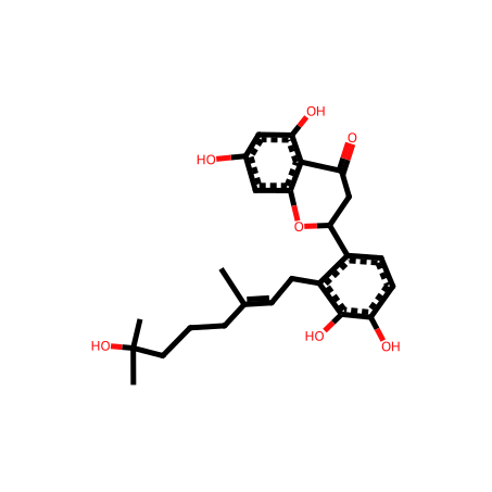 C/C(=C\Cc1c(C2CC(=O)c3c(O)cc(O)cc3O2)ccc(O)c1O)CCCC(C)(C)O